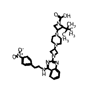 CC(C)(C)C1C(N2CCN(C3CN(c4nc(NCCc5ccc([N+](=O)[O-])cc5)c5ccccc5n4)C3)CC2)CN1C(=O)O